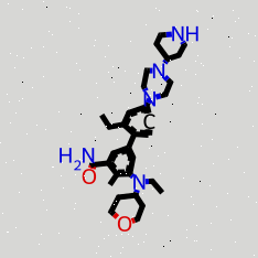 CCc1cc(N2CCN(C3CCNCC3)CC2)ccc1-c1cc(C(N)=O)c(C)c(N(CC)C2CCOCC2)c1